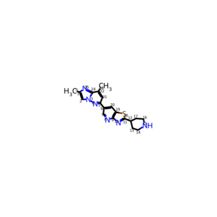 Cc1cn2nc(-c3cnc4nc(C5CCNCC5)sc4c3)cc(C)c2n1